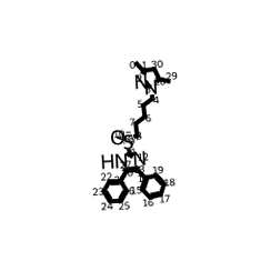 CC1=NN(CCCCC[S@+]([O-])c2nc(-c3ccccc3)c(-c3ccccc3)[nH]2)C(C)C1